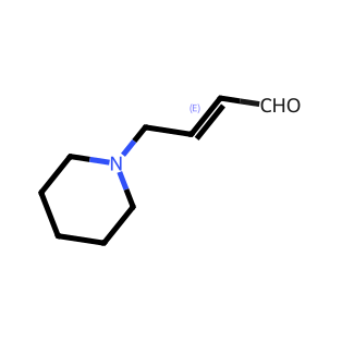 O=C/C=C/CN1CCCCC1